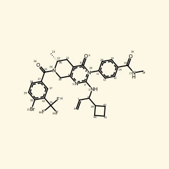 C=CC(Nc1nc2c(c(=O)n1-c1ccc(C(=O)NC)cc1)C[C@@H](C)N(C(=O)c1ccc(Br)c(C(F)(F)F)c1)C2)C1CCC1